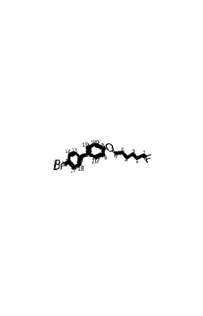 FCCCCCCOc1ccc(-c2ccc(Br)cc2)cc1